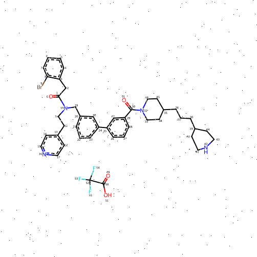 O=C(Cc1ccccc1Br)N(CCc1ccncc1)Cc1cccc(-c2cccc(C(=O)N3CCC(CCCC4CCNCC4)CC3)c2)c1.O=C(O)C(F)(F)F